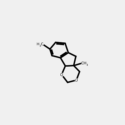 Cc1ccc2c(c1)C1OCOCC1(C)C2